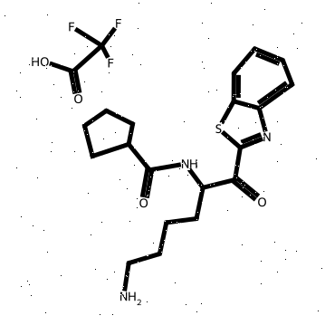 NCCCCC(NC(=O)C1CCCC1)C(=O)c1nc2ccccc2s1.O=C(O)C(F)(F)F